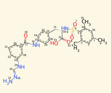 Cc1cc(C)c(S(=O)(=O)N[C@@H](Cc2ccc(NC(=O)c3cccc(NC=NN)c3)cc2)C(=O)O)c(C)c1